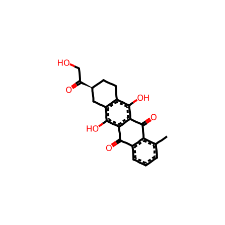 Cc1cccc2c1C(=O)c1c(O)c3c(c(O)c1C2=O)C[C@@H](C(=O)CO)CC3